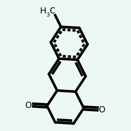 Cc1ccc2c(c1)=CC1C(=O)C=CC(=O)C1C=2